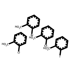 O=C(O)c1ccccc1Br.O=C(O)c1ccccc1C(F)(F)F.O=C(O)c1ccccc1Cl.O=C(O)c1ccccc1I